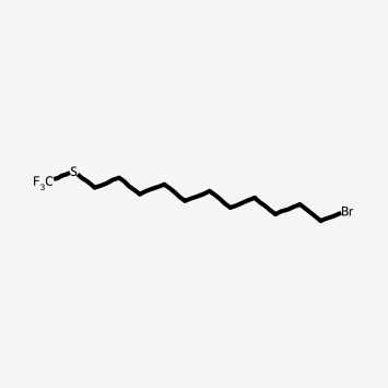 FC(F)(F)SCCCCCCCCCCCBr